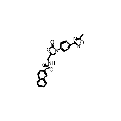 Cc1nc(-c2ccc(N3CC(CNS(=O)(=O)c4ccc5ccccc5c4)OC3=O)cc2)no1